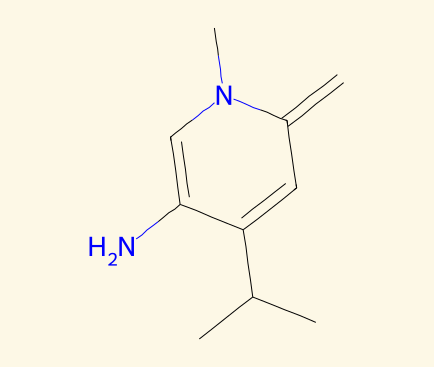 C=C1C=C(C(C)C)C(N)=CN1C